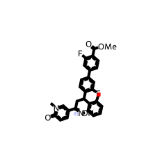 COC(=O)c1ccc(-c2ccc(C(C/C(=N\O)c3ccc(=O)n(C)c3)c3ccccc3C)c(F)c2)cc1F